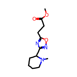 COC(=O)CCc1nc(C2CCCCN2C)no1